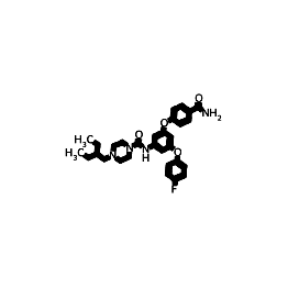 CCC(CC)CN1CCN(C(=O)Nc2cc(Oc3ccc(F)cc3)cc(Oc3ccc(C(N)=O)cc3)c2)CC1